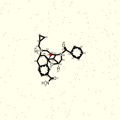 NC(=O)c1ccc2c(c1)[C@]13CCN(CC4CC4)[C@H](C2)[C@]12CCC1C3[C@@H](CN1C(=O)c1ccccc1)O2